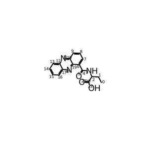 CCC(NC(=O)c1cccc2nc3ccccc3nc12)C(=O)O